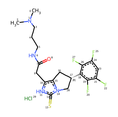 CN(C)CCCNC(=O)Cc1[nH]c(=S)n2c1C[C@H](c1c(F)c(F)cc(F)c1F)C2.Cl